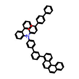 c1ccc(-c2ccc(-c3ccc(N(c4ccc(-c5cccc(-c6cccc7c6ccc6ccc8ccccc8c67)c5)cc4)c4ccccc4-c4ccccc4)cc3)cc2)cc1